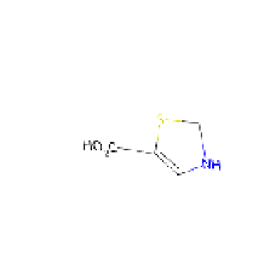 O=C(O)C1=CNCS1